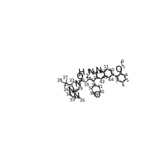 CCOc1ccccc1-c1ccc2nc(N)c(C(CCC(=O)N(CCC(C)(C)C)Cc3nccn3C)C3CCOCC3)cc2c1